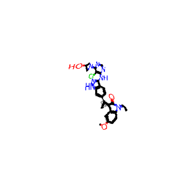 CCN1C(=O)[C@@]2(C[C@H]2c2ccc3c(Nc4ncnc(N5CC(O)C5)c4Cl)n[nH]c3c2)c2cc(OC)ccc21